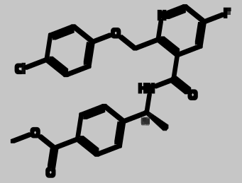 COC(=O)c1ccc([C@H](C)NC(=O)c2cc(F)cnc2COc2ccc(Cl)cc2)cc1